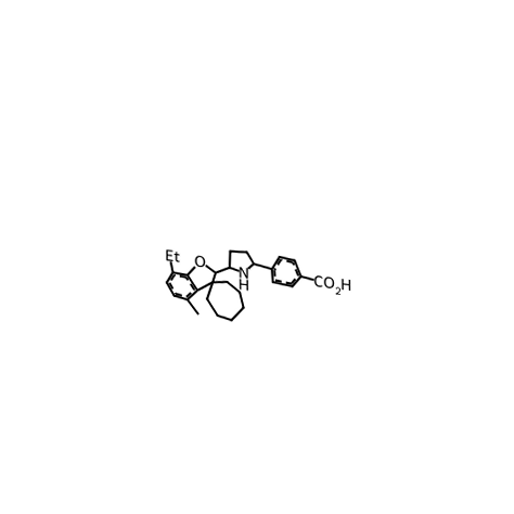 CCc1ccc(C)c2c1OC(C1CCC(c3ccc(C(=O)O)cc3)N1)C21CCCCCC1